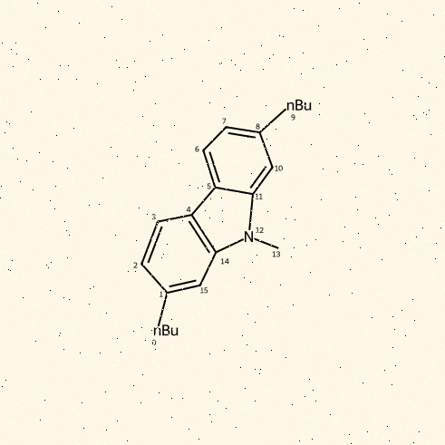 CCCCc1ccc2c3ccc(CCCC)cc3n(C)c2c1